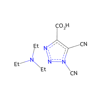 CCN(CC)CC.N#Cc1c(C(=O)O)nnn1C#N